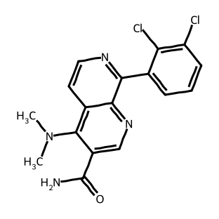 CN(C)c1c(C(N)=O)cnc2c(-c3cccc(Cl)c3Cl)nccc12